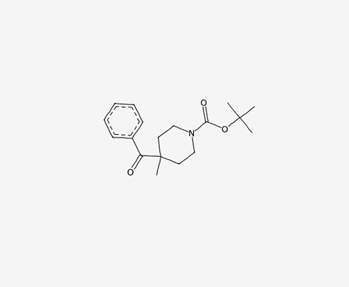 CC(C)(C)OC(=O)N1CCC(C)(C(=O)c2ccccc2)CC1